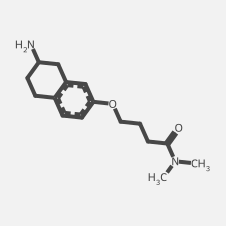 CN(C)C(=O)CCCOc1ccc2c(c1)CC(N)CC2